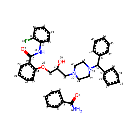 NC(=O)c1ccccc1.O=C(Nc1ccccc1F)c1ccccc1OCC(O)CN1CCN(C(c2ccccc2)c2ccccc2)CC1